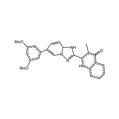 COc1cc(OC)cc(C2=CN3N=C(c4[nH]c5ccccc5c(=O)c4C)NC3C=C2)c1